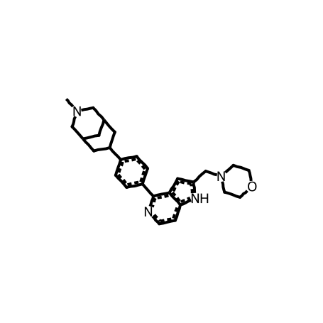 CN1CC2CC(CC(c3ccc(-c4nccc5[nH]c(CN6CCOCC6)cc45)cc3)C2)C1